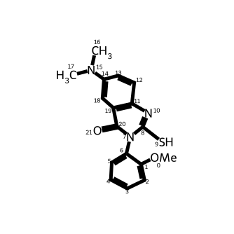 COc1ccccc1-n1c(S)nc2ccc(N(C)C)cc2c1=O